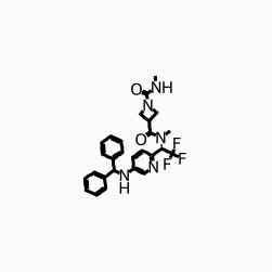 CNC(=O)N1CC(C(=O)N(C)[C@@H](c2ccc(NC(c3ccccc3)c3ccccc3)cn2)C(F)(F)F)C1